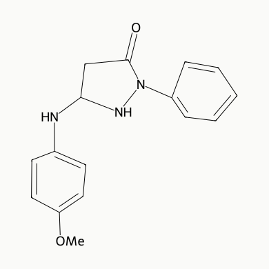 COc1ccc(NC2CC(=O)N(c3ccccc3)N2)cc1